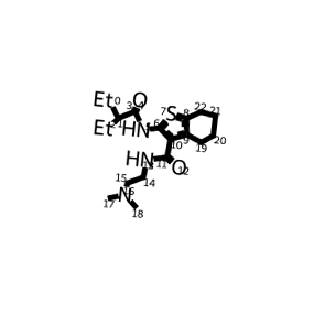 CCC(CC)C(=O)Nc1sc2c(c1C(=O)NCCN(C)C)CCCC2